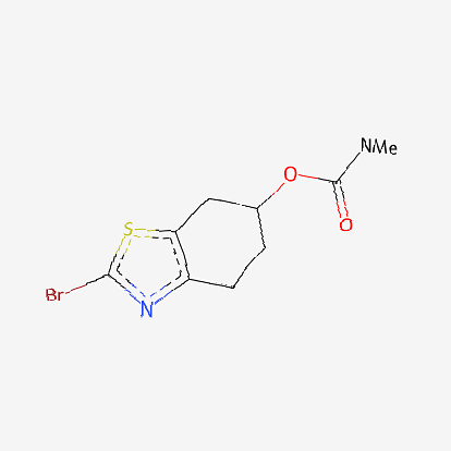 CNC(=O)OC1CCc2nc(Br)sc2C1